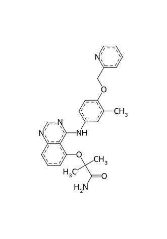 Cc1cc(Nc2ncnc3cccc(OC(C)(C)C(N)=O)c23)ccc1OCc1ccccn1